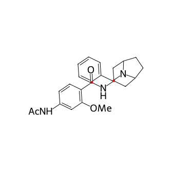 COc1cc(NC(C)=O)ccc1C(=O)NC1CC2CCC(C1)N2Cc1ccccc1